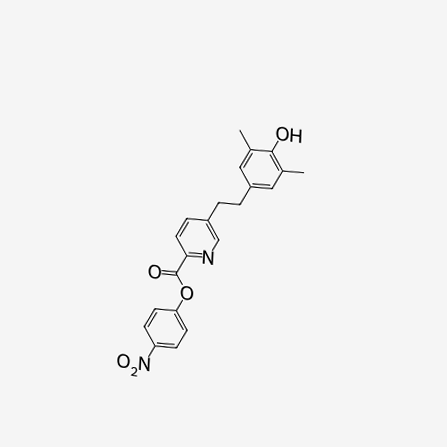 Cc1cc(CCc2ccc(C(=O)Oc3ccc([N+](=O)[O-])cc3)nc2)cc(C)c1O